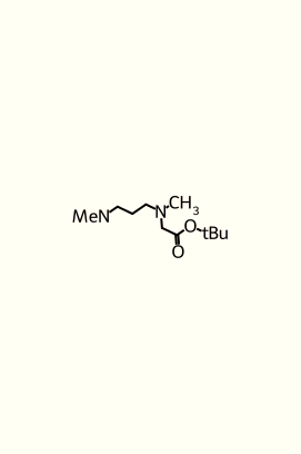 CNCCCN(C)CC(=O)OC(C)(C)C